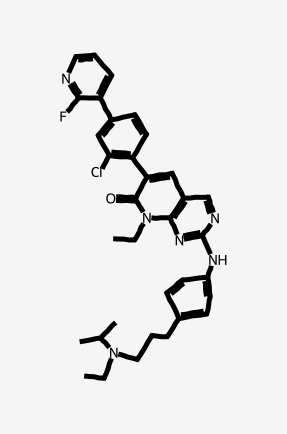 CCN(CCCc1ccc(Nc2ncc3cc(-c4ccc(-c5cccnc5F)cc4Cl)c(=O)n(CC)c3n2)cc1)C(C)C